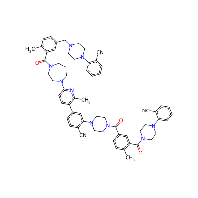 Cc1ccc(CN2CCN(c3ccccc3C#N)CC2)cc1C(=O)N1CCCN(c2ccc(-c3ccc(C#N)c(N4CCN(C(=O)c5ccc(C)c(C(=O)N6CCN(c7ccccc7C#N)CC6)c5)CC4)c3)c(C)n2)CC1